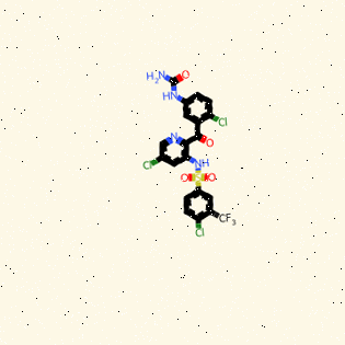 NC(=O)Nc1ccc(Cl)c(C(=O)c2ncc(Cl)cc2NS(=O)(=O)c2ccc(Cl)c(C(F)(F)F)c2)c1